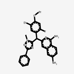 CCc1cc(C(c2cc3cc(N)ccc3c(N)n2)c2nc(-c3ccccc3)nn2C)c(F)cc1OC(C)C